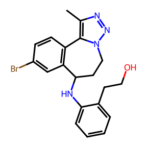 Cc1nnn2c1-c1ccc(Br)cc1C(Nc1ccccc1CCO)CC2